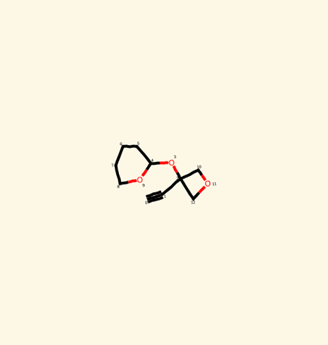 C#CC1(OC2CCCCO2)COC1